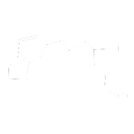 CCC(C)OCCC(C)CC=Cc1ccc2c(c1)OCO2